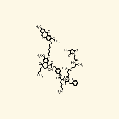 C=C1CC2C=Nc3cc(OCCCCCOc4cc5c(cc4OC)C(=O)N(CCCC)C[C@H](O)N5C(=O)OCc4ccc(NC(=O)[C@H](CCCCN)NC(=O)[C@H](Cc5ccccc5)NC(=O)CCC(C)OCCC(C)NC(=O)CCN5C(=O)CC(S)C5=O)cc4)c(OC)cc3C(=O)N2C1